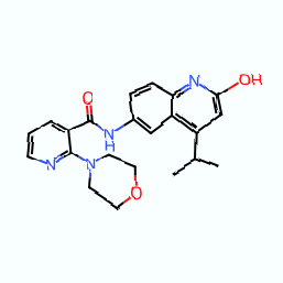 CC(C)c1cc(O)nc2ccc(NC(=O)c3cccnc3N3CCOCC3)cc12